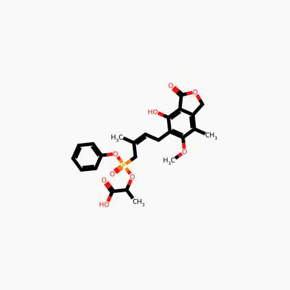 COc1c(C)c2c(c(O)c1CC=C(C)CP(=O)(Oc1ccccc1)OC(C)C(=O)O)C(=O)OC2